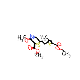 CCOC(=O)c1cc(C)c(CCC2CN=C(OC)C(C(=O)OC)S2)s1